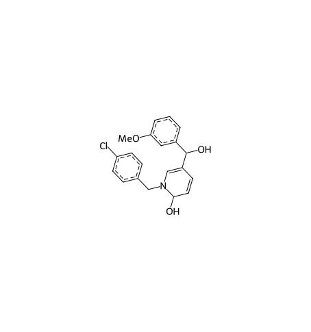 COc1cccc(C(O)C2=CN(Cc3ccc(Cl)cc3)C(O)C=C2)c1